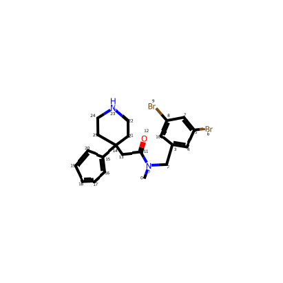 CN(Cc1cc(Br)cc(Br)c1)C(=O)CC1(c2ccccc2)CCNCC1